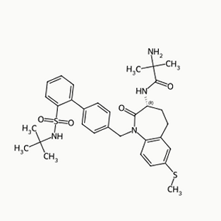 CSc1ccc2c(c1)CC[C@@H](NC(=O)C(C)(C)N)C(=O)N2Cc1ccc(-c2ccccc2S(=O)(=O)NC(C)(C)C)cc1